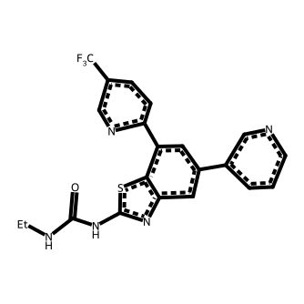 CCNC(=O)Nc1nc2cc(-c3cccnc3)cc(-c3ccc(C(F)(F)F)cn3)c2s1